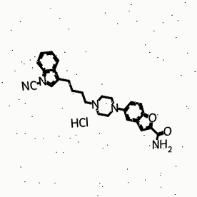 Cl.N#Cn1cc(CCCCN2CCN(c3ccc4oc(C(N)=O)cc4c3)CC2)c2ccccc21